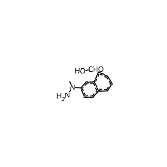 CN(N)c1ccc2ccccc2c1.O=CO